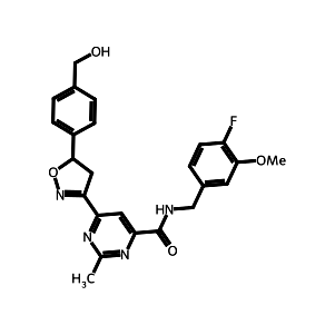 COc1cc(CNC(=O)c2cc(C3=NOC(c4ccc(CO)cc4)C3)nc(C)n2)ccc1F